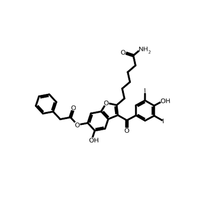 NC(=O)CCCCCc1oc2cc(OC(=O)Cc3ccccc3)c(O)cc2c1C(=O)c1cc(I)c(O)c(I)c1